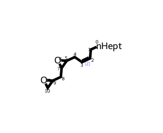 CCCCCCCC/C=C\CC1OC1CC1CO1